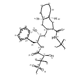 CC(C)(C)NC(=O)[C@@H]1C[C@@H]2CCCC[C@@H]2CN1C[C@@H](O)[C@H](Cc1ccccc1)NC(=O)[C@@H](O)C(C)(C)S(C)(=O)=O